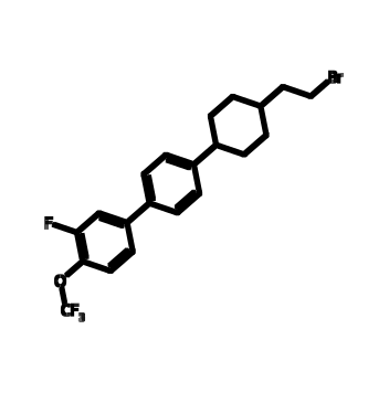 Fc1cc(-c2ccc(C3CCC(CCBr)CC3)cc2)ccc1OC(F)(F)F